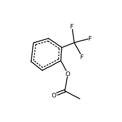 CC(=O)Oc1ccccc1C(F)(F)F